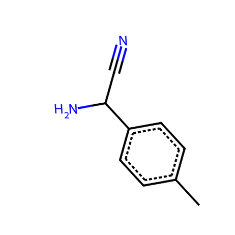 Cc1ccc(C(N)C#N)cc1